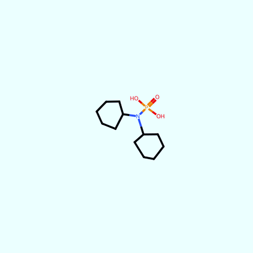 O=P(O)(O)N(C1CCCCC1)C1CCCCC1